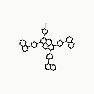 Fc1ccc(-c2cc(-c3ccc(-c4cccc5ccccc45)cc3)c3ccc4c(-c5ccc(-c6cccc7ccccc67)cc5)cc(-c5ccc(-c6cccc7ccccc67)cc5)c5ccc2c3c54)cc1